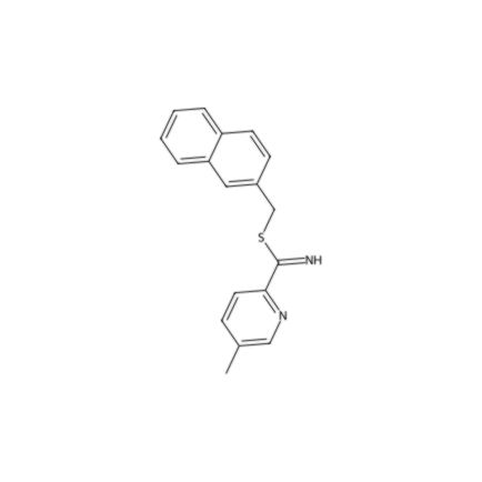 Cc1ccc(C(=N)SCc2ccc3ccccc3c2)nc1